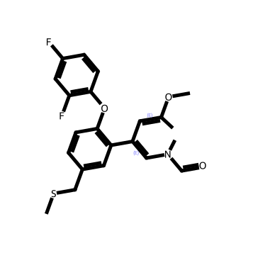 CO/C(C)=C/C(=C\N(C)C=O)c1cc(CSC)ccc1Oc1ccc(F)cc1F